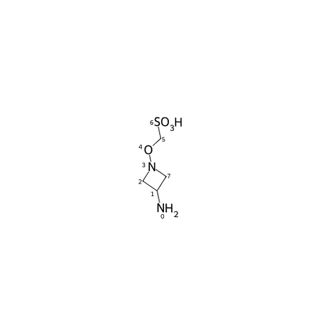 NC1CN(OCS(=O)(=O)O)C1